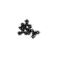 N#Cc1ccc(-c2nc(-c3ccccc3)nc(-c3ccccc3)n2)cc1-n1c2ccccc2c2cc(-c3cc4c5c(c3)N(c3cc(-c6ccccc6)cc(-c6ccccc6)c3)c3ccccc3B5c3ccccc3N4c3cc(-c4ccccc4)cc(-c4ccccc4)c3)ccc21